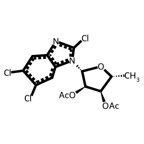 CC(=O)O[C@@H]1[C@H](OC(C)=O)[C@@H](C)O[C@H]1n1c(Cl)nc2cc(Cl)c(Cl)cc21